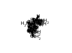 CSCC[C@H](NC(=O)[C@H](CC(C)C)NC(=O)[C@H](Cc1c[nH]c2ccccc12)NC(=O)[C@H](CCC(N)=O)NC(=O)[C@@H](NC(=O)[C@H](Cc1ccccc1)NC(=O)[C@H](CC(=O)O)NC(=O)[C@@H](N)CCC(N)=O)C(C)C)C(=O)N[C@@H](CC(N)=O)C(=O)N[C@H](C(=O)O)[C@@H](C)O